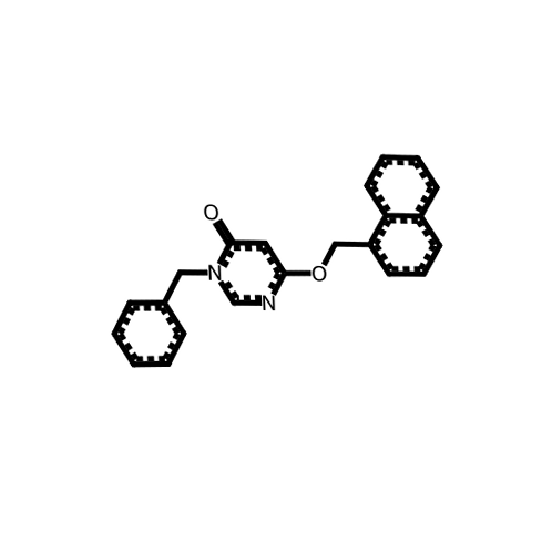 O=c1cc(OCc2cccc3ccccc23)ncn1Cc1ccccc1